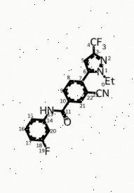 CCn1nc(C(F)(F)F)cc1-c1ccc(C(=O)Nc2cccc(F)c2)cc1C#N